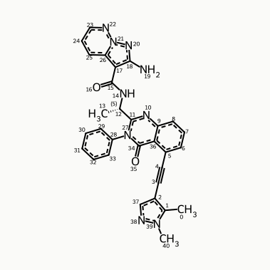 Cc1c(C#Cc2cccc3nc([C@H](C)NC(=O)c4c(N)nn5ncccc45)n(-c4ccccc4)c(=O)c23)cnn1C